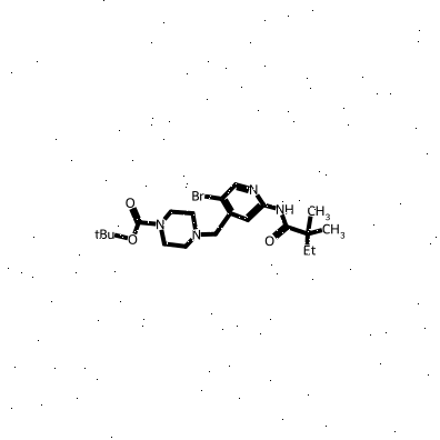 CCC(C)(C)C(=O)Nc1cc(CN2CCN(C(=O)OC(C)(C)C)CC2)c(Br)cn1